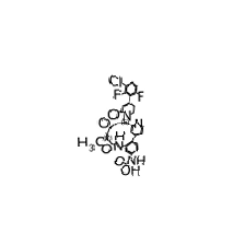 C[C@@H]1CC(=O)C[C@H](N2CCC(c3c(F)ccc(Cl)c3F)=CC2=O)c2cc(ccn2)-c2ccc(NC(=O)O)cc2NC1=O